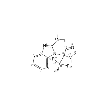 CNc1nc2ccccc2n1C(C=O)(NC)C(F)(F)F